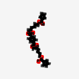 O=C(OCCCCC1COB(c2ccc(B3OCC(CCCCOC(=O)C4CC=CC4)O3)cc2)O1)C1CC=CC1